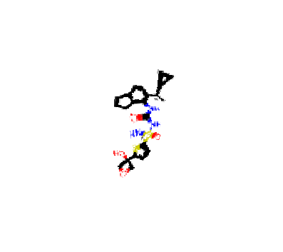 C[C@@H](c1ccc2c(c1NC(=O)N[S@@](=N)(=O)c1ccc(C3(O)COC3)s1)CCC2)C1CC1